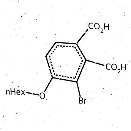 CCCCCCOc1ccc(C(=O)O)c(C(=O)O)c1Br